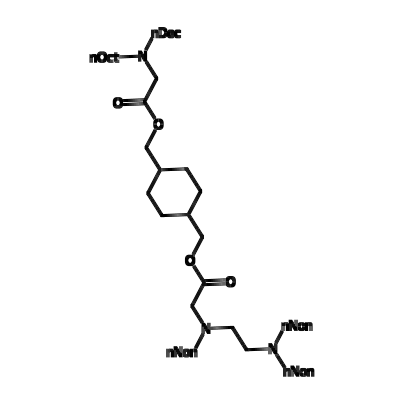 CCCCCCCCCCN(CCCCCCCC)CC(=O)OCC1CCC(COC(=O)CN(CCCCCCCCC)CCN(CCCCCCCCC)CCCCCCCCC)CC1